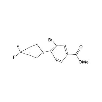 COC(=O)c1cnc(N2CC3C(C2)C3(F)F)c(Br)c1